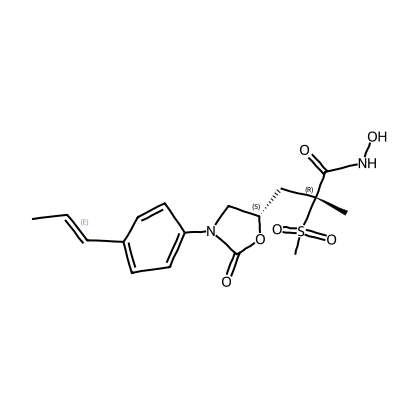 C/C=C/c1ccc(N2C[C@H](C[C@](C)(C(=O)NO)S(C)(=O)=O)OC2=O)cc1